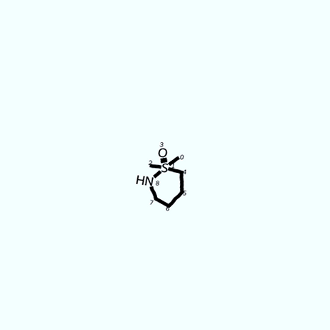 CS1(C)(=O)CCCCN1